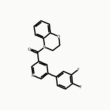 O=C(c1cncc(-c2ccc(F)c(F)c2)c1)N1CCOc2ccccc21